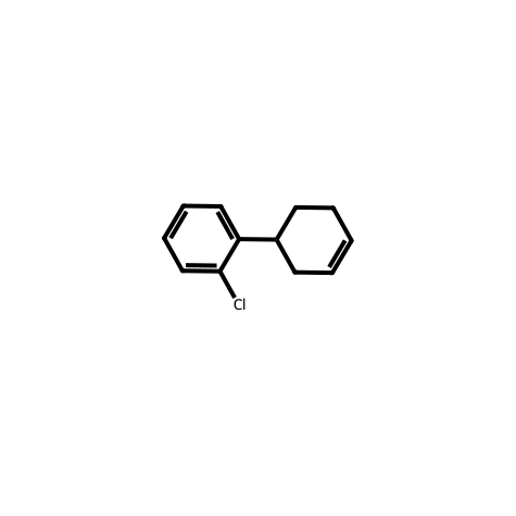 Clc1ccccc1C1CC=CCC1